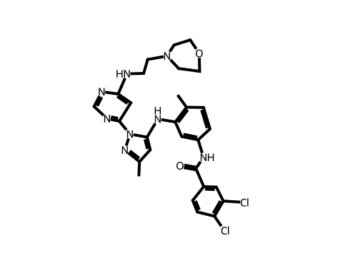 Cc1cc(Nc2cc(NC(=O)c3ccc(Cl)c(Cl)c3)ccc2C)n(-c2cc(NCCN3CCOCC3)ncn2)n1